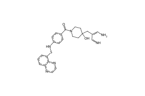 N=C/C(=C\N)CC1(O)CCN(C(=O)c2ccc(NSc3cccc4nccnc34)cc2)CC1